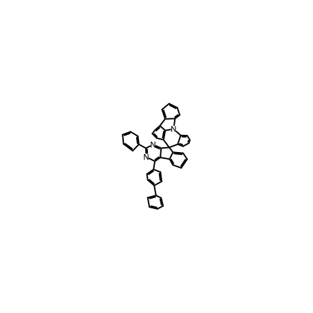 c1ccc(-c2ccc(-c3nc(-c4ccccc4)nc4c3-c3ccccc3C43c4ccccc4-n4c5ccccc5c5cccc3c54)cc2)cc1